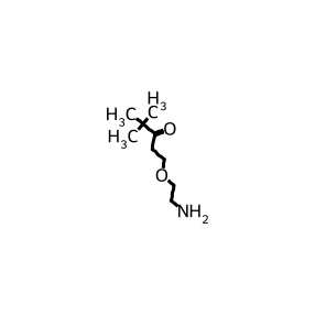 CC(C)(C)C(=O)CCOCCN